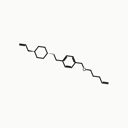 C=CCCCOCc1ccc(CC[C@H]2CC[C@H](CC=C)CC2)cc1